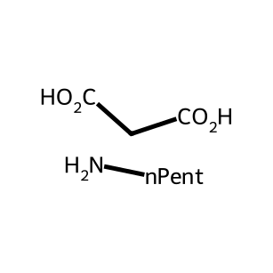 CCCCCN.O=C(O)CC(=O)O